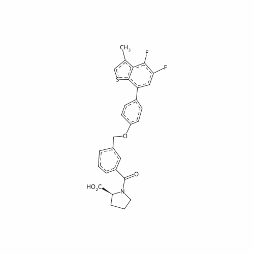 Cc1csc2c(-c3ccc(OCc4cccc(C(=O)N5CCC[C@H]5C(=O)O)c4)cc3)cc(F)c(F)c12